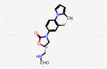 N#Cc1cccn1-c1ccc(N2C[C@H](CNC=O)OC2=O)cc1F